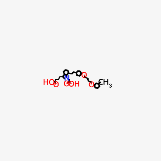 Cc1cccc(OCC=CCOc2ccc(C=Cc3cccc4c(CCCC(=O)O)cn(CC(=O)O)c34)cc2)c1